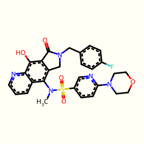 CN(c1c2c(c(O)c3ncccc13)C(=O)N(Cc1ccc(F)cc1)C2)S(=O)(=O)c1ccc(N2CCOCC2)nc1